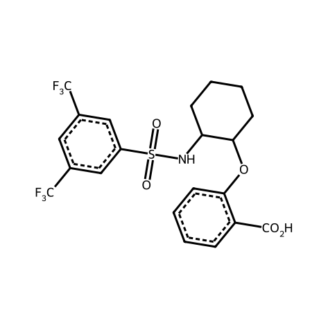 O=C(O)c1ccccc1OC1CCCCC1NS(=O)(=O)c1cc(C(F)(F)F)cc(C(F)(F)F)c1